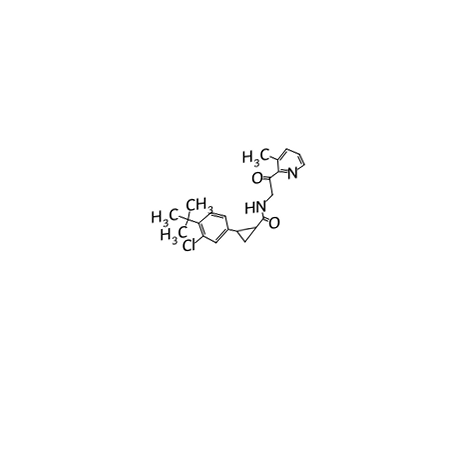 Cc1cccnc1C(=O)CNC(=O)C1CC1c1ccc(C(C)(C)C)c(Cl)c1